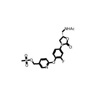 CC(=O)NC[C@H]1CN(c2ccc(Oc3ccc(COS(C)(=O)=O)cn3)c(F)c2)C(=O)O1